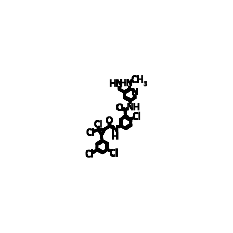 CNc1ncc(NC(=O)c2cc(NC(=O)C3C(c4cc(Cl)cc(Cl)c4)C3(Cl)Cl)ccc2Cl)cc1C=N